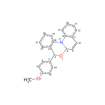 COc1ccc(C2OC3C=Cc4ccccc4N3c3ccccc32)cc1